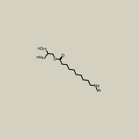 CCCCCCCCC(CCCCCC)COC(=O)CCCCCCCCCNC(C)C